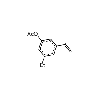 C=[C]c1cc(CC)cc(OC(C)=O)c1